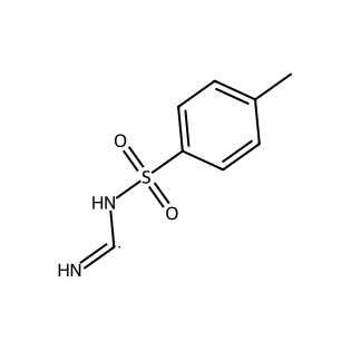 Cc1ccc(S(=O)(=O)N[C]=N)cc1